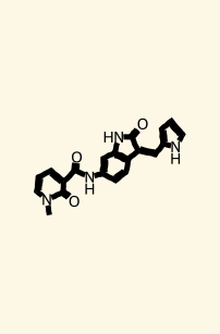 Cn1cccc(C(=O)Nc2ccc3c(c2)NC(=O)/C3=C\c2ccc[nH]2)c1=O